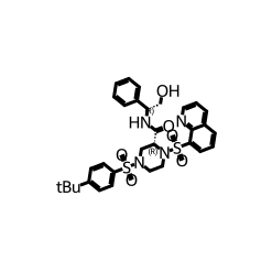 CC(C)(C)c1ccc(S(=O)(=O)N2CCN(S(=O)(=O)c3cccc4cccnc34)[C@@H](C(=O)N[C@@H](CO)c3ccccc3)C2)cc1